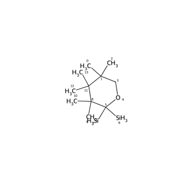 CC1(C)COC([SiH3])([SiH3])C(C)(C)C1(C)C